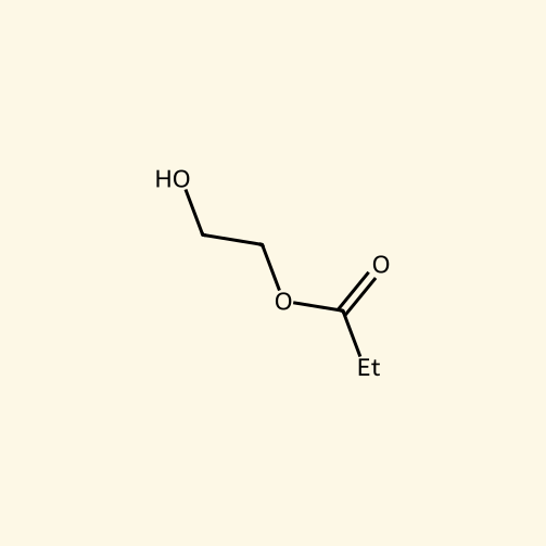 CCC(=O)OCCO